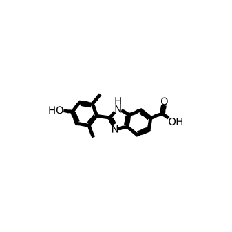 Cc1cc(O)cc(C)c1-c1nc2ccc(C(=O)O)cc2[nH]1